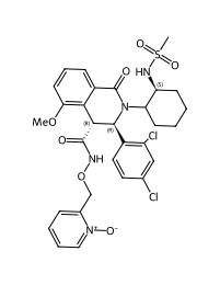 COc1cccc2c1[C@@H](C(=O)NOCc1cccc[n+]1[O-])[C@H](c1ccc(Cl)cc1Cl)N(C1CCCC[C@@H]1NS(C)(=O)=O)C2=O